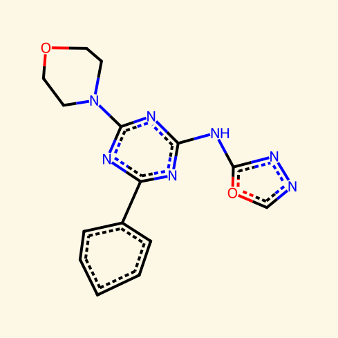 c1ccc(-c2nc(Nc3nnco3)nc(N3CCOCC3)n2)cc1